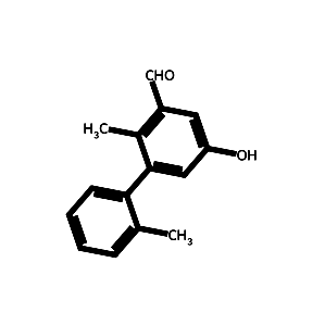 Cc1ccccc1-c1cc(O)cc(C=O)c1C